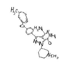 Cc1cccc(Oc2ccc(-c3nn(C4CCCN(C)C4)c4c(=O)[nH]nc(N)c34)cc2)c1